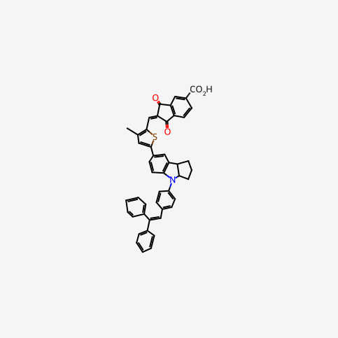 Cc1cc(-c2ccc3c(c2)C2CCCC2N3c2ccc(C=C(c3ccccc3)c3ccccc3)cc2)sc1/C=C1\C(=O)c2ccc(C(=O)O)cc2C1=O